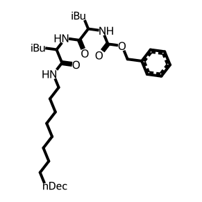 CCCCCCCCCCCCCCCCCCNC(=O)C(NC(=O)C(NC(=O)OCc1ccccc1)C(C)CC)C(C)CC